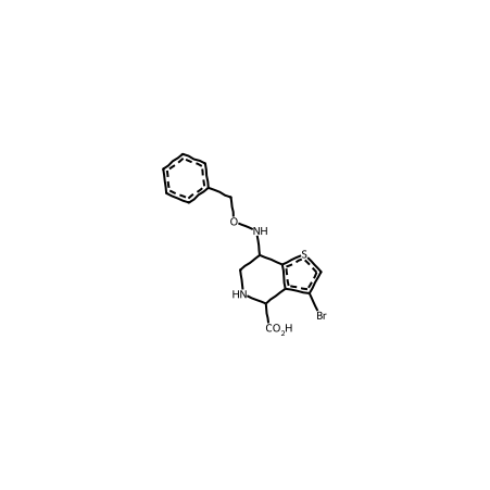 O=C(O)C1NCC(NOCc2ccccc2)c2scc(Br)c21